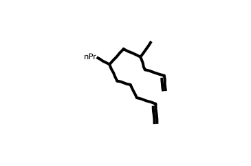 C=CCCCC(CCC)CC(C)CC=C